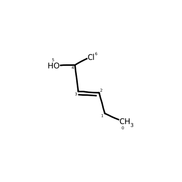 CCC=CC(O)Cl